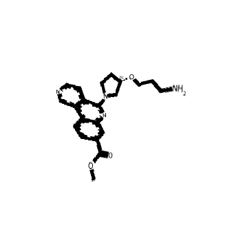 COC(=O)c1ccc2c(c1)nc(N1CC[C@H](OCCCN)C1)c1ccncc12